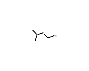 CP(C)OCC#N